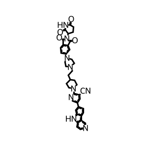 N#Cc1cc(-c2ccc3c(c2)[nH]c2ccncc23)cnc1N1CCC(CCN2CCN(c3ccc4c(c3)C(=O)N(C3CCC(=O)NC3=O)C4=O)CC2)CC1